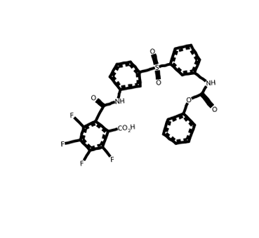 O=C(Nc1cccc(S(=O)(=O)c2cccc(NC(=O)c3c(F)c(F)c(F)c(F)c3C(=O)O)c2)c1)Oc1ccccc1